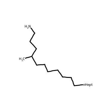 CCCCCCCCCCCCCCC(C)CCCN